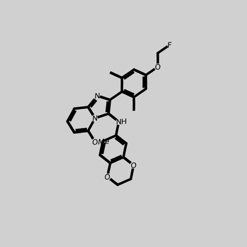 COc1cccc2nc(-c3c(C)cc(OCF)cc3C)c(Nc3ccc4c(c3)OCCO4)n12